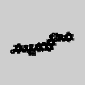 COc1cc2c(Oc3ccc(NC(=O)N(S)C(=O)Cc4cccc(Cl)c4)cc3F)ccnc2cc1OCC(O)CN1CCCCC1